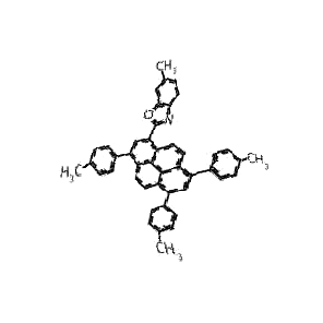 Cc1ccc(-c2cc(-c3ccc(C)cc3)c3ccc4c(-c5nc6ccc(C)cc6o5)cc(-c5ccc(C)cc5)c5ccc2c3c54)cc1